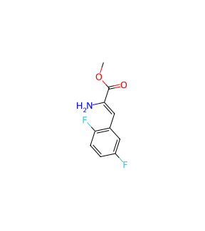 COC(=O)/C(N)=C/c1cc(F)ccc1F